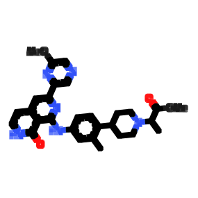 COC(=O)C(C)N1CCC(c2ccc(Nc3nc(-c4cncc(OC)n4)cc4cc[nH]c(=O)c34)cc2C)CC1